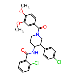 COc1ccc(C(=O)N2CCC(NC(=O)c3ccccc3Cl)C(c3ccc(Cl)cc3)C2)cc1OC